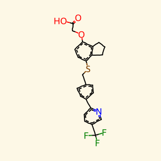 O=C(O)COc1ccc(SCc2ccc(-c3ccc(C(F)(F)F)cn3)cc2)c2c1CCC2